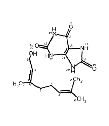 CC(C)=CCCC(C)=CCO.O=c1[nH]c(=O)c2[nH]c(=O)[nH]c2[nH]1